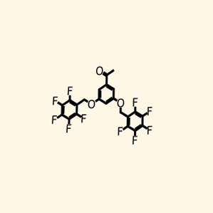 CC(=O)c1cc(OCc2c(F)c(F)c(F)c(F)c2F)cc(OCc2c(F)c(F)c(F)c(F)c2F)c1